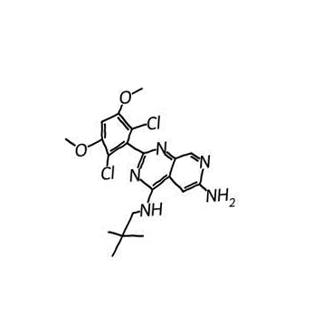 COc1cc(OC)c(Cl)c(-c2nc(NCC(C)(C)C)c3cc(N)ncc3n2)c1Cl